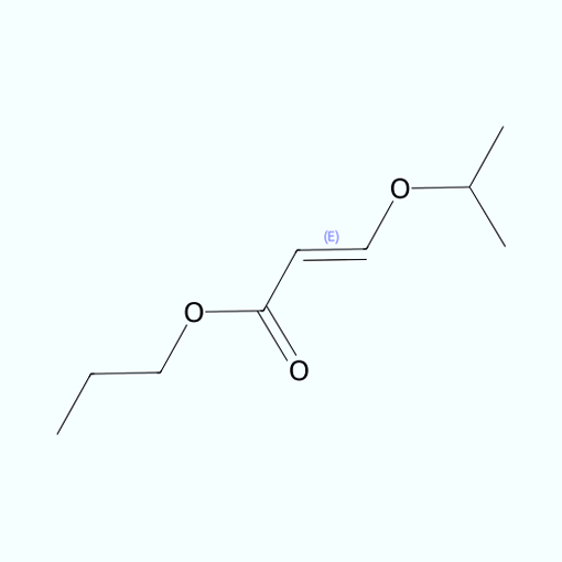 CCCOC(=O)/C=C/OC(C)C